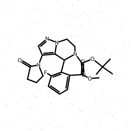 COC(=O)c1cccc(F)c1C1c2c(N3CCCC3=O)cnn2CCN1C(=O)OC(C)(C)C